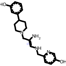 N/C(=C\NCc1ccc(O)cn1)CN1CCC(c2cccc(O)c2)CC1